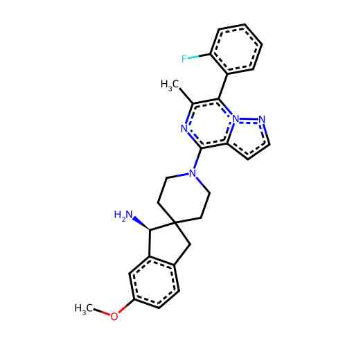 COc1ccc2c(c1)[C@@H](N)C1(CCN(c3nc(C)c(-c4ccccc4F)n4nccc34)CC1)C2